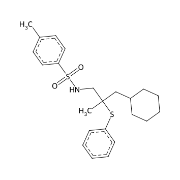 Cc1ccc(S(=O)(=O)NCC(C)(CC2CCCCC2)Sc2ccccc2)cc1